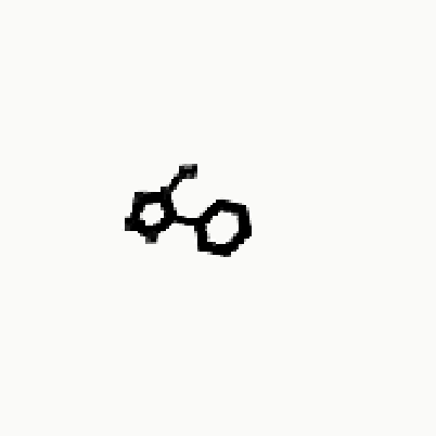 Sn1nnnc1-c1ccccc1